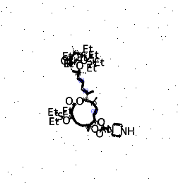 CC[C@H](O[Si](CC)(CC)CC)[C@@H](C)[C@@H]1O[C@H]1C[C@](C)(/C=C/C=C(\C)[C@H]1OC(=O)C[C@H](O[Si](CC)(CC)CC)CC[C@@](C)(OC(C)=O)[C@@H](OC(=O)N2CCNCC2)/C=C/[C@@H]1C)O[Si](CC)(CC)CC